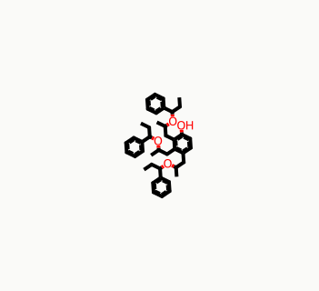 CCC(OC(C)Cc1ccc(O)c(CC(C)OC(CC)c2ccccc2)c1CC(C)OC(CC)c1ccccc1)c1ccccc1